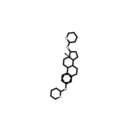 C[C@]12CCC3c4ccc(OC5CCCCO5)cc4CCC3C1CCC2OC1CCCCO1